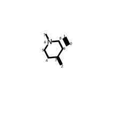 C#C.C=C1CCN(C)CC1